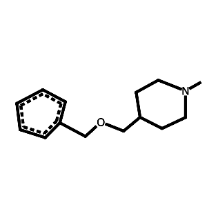 CN1CCC(COCc2ccccc2)CC1